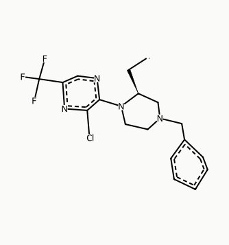 [CH2]C[C@H]1CN(Cc2ccccc2)CCN1c1ncc(C(F)(F)F)nc1Cl